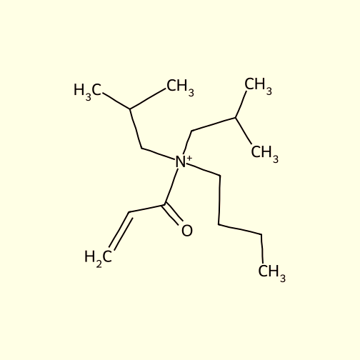 C=CC(=O)[N+](CCCC)(CC(C)C)CC(C)C